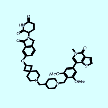 COc1cc(-c2cn(C)c(=O)c3ccsc23)cc(OC)c1CN1CCC(CN2CCC3(CC2)CC(Oc2ccc4c(c2)C(=O)N(C2CCC(=O)NC2=O)C4)C3)CC1